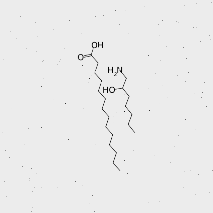 CCCCCC(O)CN.CCCCCCCCCCCCCC(=O)O